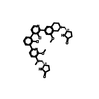 COc1cc(-c2nccc(-c3cccc(-c4ccc(N(C)C[C@@H]5CCC(=O)N5)c(OC)n4)c3Cl)c2Cl)cc2c1CN(C[C@@H]1CCC(=O)N1)CC2